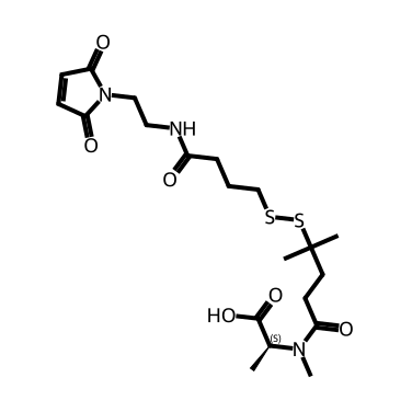 C[C@@H](C(=O)O)N(C)C(=O)CCC(C)(C)SSCCCC(=O)NCCN1C(=O)C=CC1=O